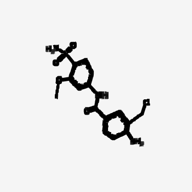 Bc1ccc(C(=O)Nc2ccc(S(N)(=O)=O)c(OC)c2)cc1CCl